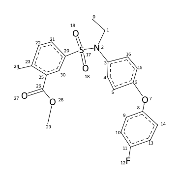 CCN(c1ccc(Oc2ccc(F)cc2)cc1)S(=O)(=O)c1ccc(C)c(C(=O)OC)c1